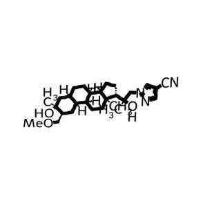 COC[C@@H]1C[C@H]2[C@H](CC[C@@H]3[C@@H]2CC[C@@]2(C)[C@H]3CC[C@@H]2[C@](C)(O)Cn2cc(C#N)cn2)C[C@]1(C)O